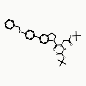 CC(C)(C)OC(=O)C[C@@H](NC(=O)OC(C)(C)C)C(=O)N1CCc2cc(-c3ccc(OCc4ccccc4)cc3)ccc21